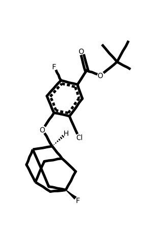 CC(C)(C)OC(=O)c1cc(Cl)c(O[C@H]2C3CC4CC2C[C@@](F)(C4)C3)cc1F